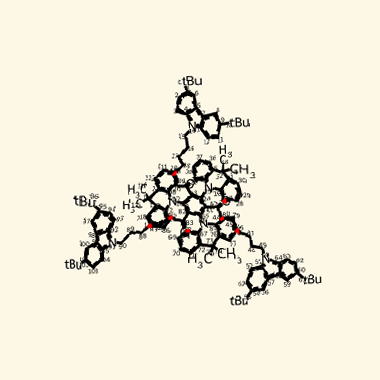 CC(C)(C)c1ccc2c(c1)c1cc(C(C)(C)C)ccc1n2CCCCCCC(=O)c1c(N2c3ccccc3C(C)(C)c3ccccc32)c(C(=O)CCCCCCn2c3ccc(C(C)(C)C)cc3c3cc(C(C)(C)C)ccc32)c(N2c3ccccc3C(C)(C)c3ccccc32)c(C(=O)CCCCCCn2c3ccc(C(C)(C)C)cc3c3cc(C(C)(C)C)ccc32)c1N1c2ccccc2C(C)(C)c2ccccc21